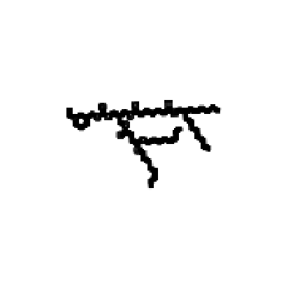 CC/C=C\CCCCOC(CCC(=O)OCC(COC(=O)CCCCCC(=O)OCC(CCCCCC)CCCCCCCC)COC(=O)OCC1CCCN(CC)C1)OCCCC/C=C\CC